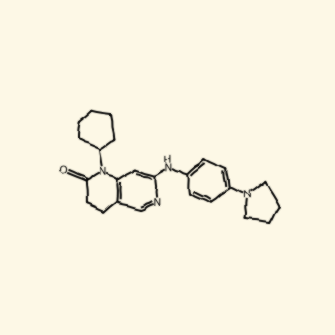 O=C1CCc2cnc(Nc3ccc(N4CCCC4)cc3)cc2N1C1CCCCC1